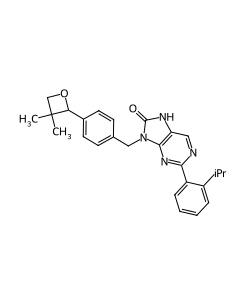 CC(C)c1ccccc1-c1ncc2[nH]c(=O)n(Cc3ccc(C4OCC4(C)C)cc3)c2n1